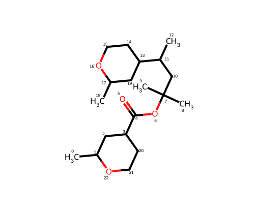 CC1CC(C(=O)OC(C)(C)CC(C)C2CCOC(C)C2)CCO1